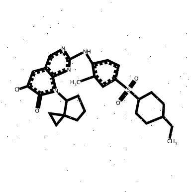 CCC1CCC(S(=O)(=O)c2ccc(Nc3ncc4cc(Cl)c(=O)n(C5CCCC56CC6)c4n3)c(C)c2)CC1